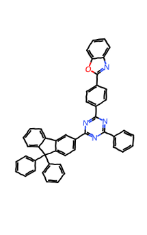 c1ccc(-c2nc(-c3ccc(-c4nc5ccccc5o4)cc3)nc(-c3ccc4c(c3)-c3ccccc3C4(c3ccccc3)c3ccccc3)n2)cc1